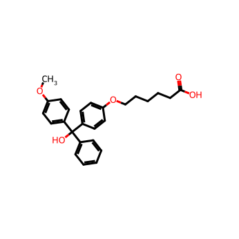 COc1ccc(C(O)(c2ccccc2)c2ccc(OCCCCCC(=O)O)cc2)cc1